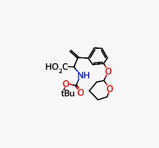 C=C(c1cccc(OC2CCCCO2)c1)C(NC(=O)OC(C)(C)C)C(=O)O